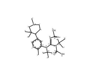 Cc1ncc(C2CCN(C)CC2(C)C)cc1N(C(=NC(=O)O)N(C(=O)O)C(C)(C)C)C(C)(C)C